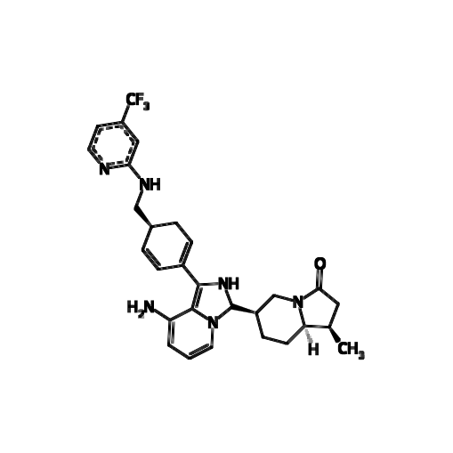 C[C@@H]1CC(=O)N2C[C@H](C3NC(C4=CC[C@H](CNc5cc(C(F)(F)F)ccn5)C=C4)=C4C(N)=CC=CN43)CC[C@H]12